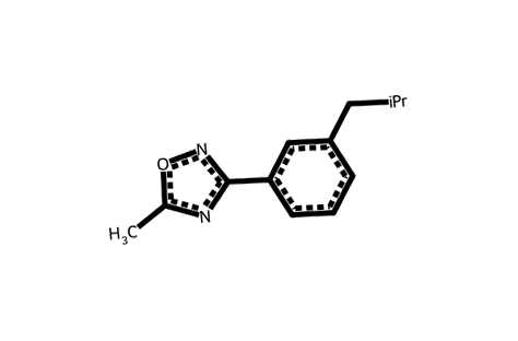 Cc1nc(-c2cccc(CC(C)C)c2)no1